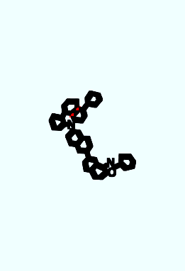 c1ccc(-c2ccc(N(c3ccc4cc(-c5ccc6ccc7oc(-c8ccccc8)nc7c6c5)ccc4c3)c3ccccc3-c3ccccc3)cc2)cc1